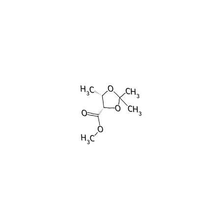 COC(=O)[C@H]1OC(C)(C)O[C@H]1C